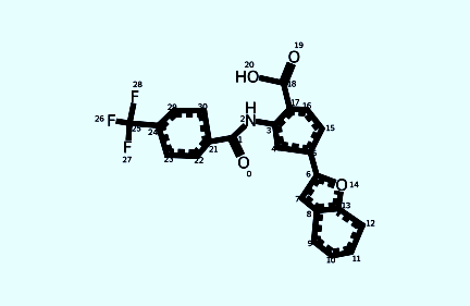 O=C(Nc1cc(-c2cc3ccccc3o2)ccc1C(=O)O)c1ccc(C(F)(F)F)cc1